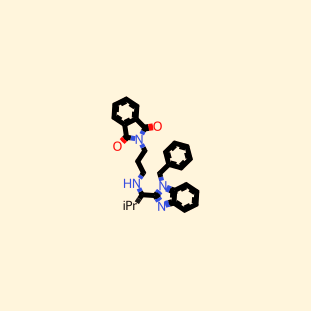 CC(C)C(NCCCN1C(=O)c2ccccc2C1=O)c1nc2ccccc2n1Cc1ccccc1